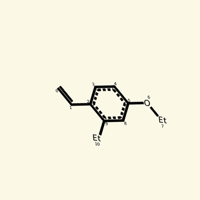 C=Cc1ccc(OCC)cc1CC